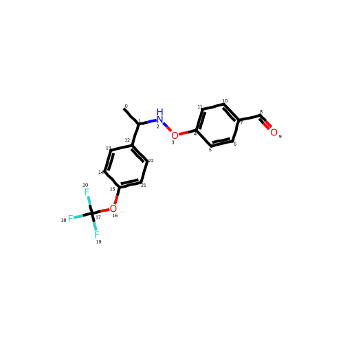 CC(NOc1ccc(C=O)cc1)c1ccc(OC(F)(F)F)cc1